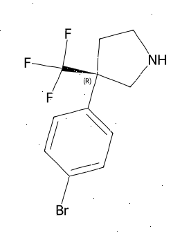 FC(F)(F)[C@@]1(c2ccc(Br)cc2)CCNC1